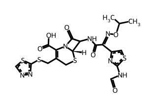 CC(C)ON=C(C(=O)NC1C(=O)N2C(C(=O)O)=C(CSc3nncs3)CS[C@@H]12)c1csc(NC=O)n1